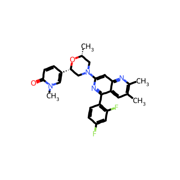 Cc1cc2c(-c3ccc(F)cc3F)nc(N3C[C@@H](C)O[C@@H](c4ccc(=O)n(C)c4)C3)cc2nc1C